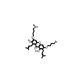 CBCCCCOc1cc2oc3cc(OCCCCBr)c(CC=C(C)C)c(O)c3c(=O)c2c(CC=C(C)C)c1OC